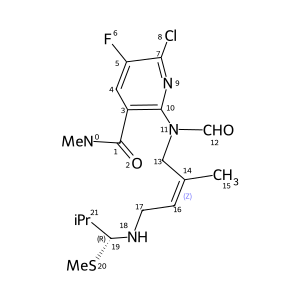 CNC(=O)c1cc(F)c(Cl)nc1N(C=O)C/C(C)=C\CN[C@H](SC)C(C)C